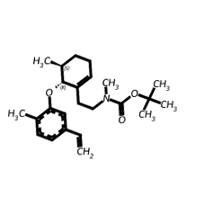 C=Cc1ccc(C)c(O[C@H]2C(CCN(C)C(=O)OC(C)(C)C)=CCC[C@@H]2C)c1